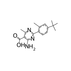 Cc1cc(C(C)(C)C)ccc1-c1nc(C)c(C(=O)O)c(N)n1